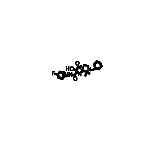 CC1(C)c2nc(C(=O)NCc3ccc(F)cc3)c(O)c(=O)n2CCN1Cc1ccccc1